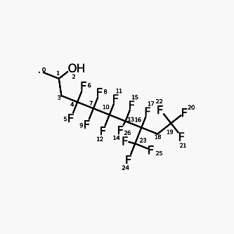 [CH2]C(O)CC(F)(F)C(F)(F)C(F)(F)C(F)(F)C(F)(CC(F)(F)F)C(F)(F)F